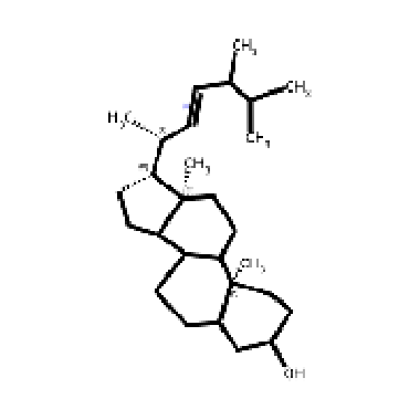 CC(C)C(C)/C=C/[C@@H](C)[C@H]1CCC2C3CCC4CC(O)CC[C@]4(C)C3CC[C@@]21C